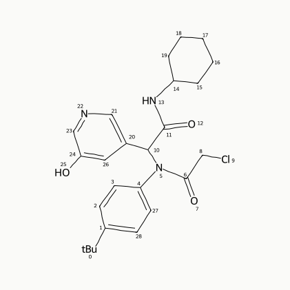 CC(C)(C)c1ccc(N(C(=O)CCl)C(C(=O)NC2CCCCC2)c2cncc(O)c2)cc1